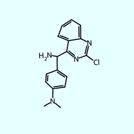 CN(C)c1ccc(C(N)c2nc(Cl)nc3ccccc23)cc1